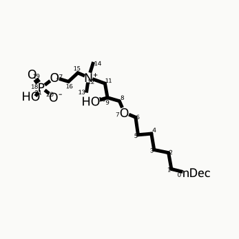 CCCCCCCCCCCCCCCCOCC(O)C[N+](C)(C)CCOP(=O)([O-])O